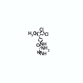 CN1Cc2c(Cl)cc(Cl)cc2C(c2ccc(NC(=O)C(N)Cc3c[nH]cn3)cc2)C1